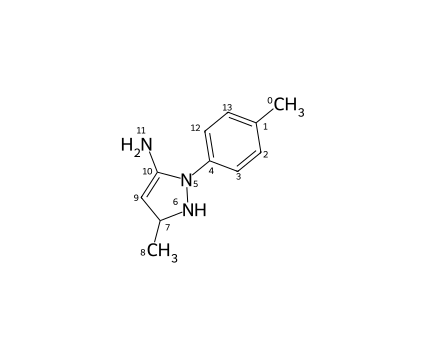 Cc1ccc(N2NC(C)C=C2N)cc1